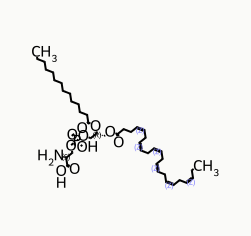 CC/C=C\C/C=C\C/C=C\C/C=C\C/C=C\C/C=C\CCC(=O)OC[C@H](COP(=O)(O)OC[C@H](N)C(=O)O)OC(=O)CCCCCCCCCCCCC